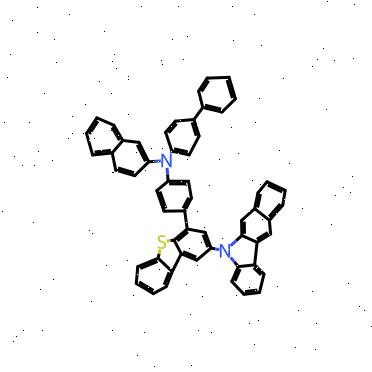 c1ccc(-c2ccc(N(c3ccc(-c4cc(-n5c6ccccc6c6cc7ccccc7cc65)cc5c4sc4ccccc45)cc3)c3ccc4ccccc4c3)cc2)cc1